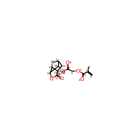 C=C(C)C(=O)OCC(=O)OC1C2CC3(C#N)C(=O)OC1C3S2